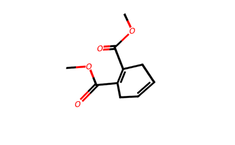 COC(=O)C1=C(C(=O)OC)CC=CC1